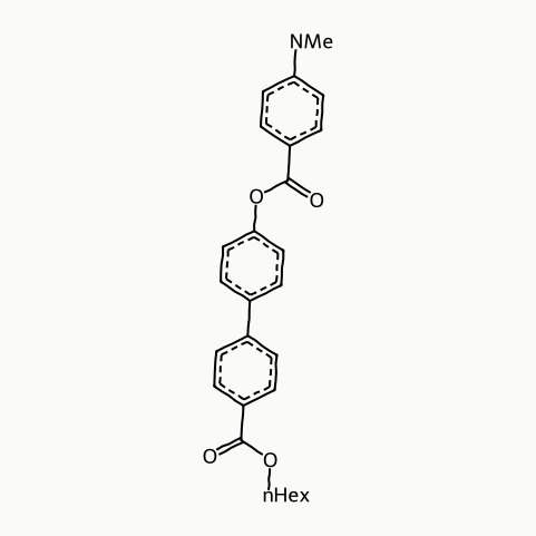 CCCCCCOC(=O)c1ccc(-c2ccc(OC(=O)c3ccc(NC)cc3)cc2)cc1